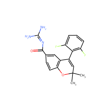 CC1(C)C=C(c2c(F)cccc2F)c2cc(C(=O)N=C(N)N)ccc2O1